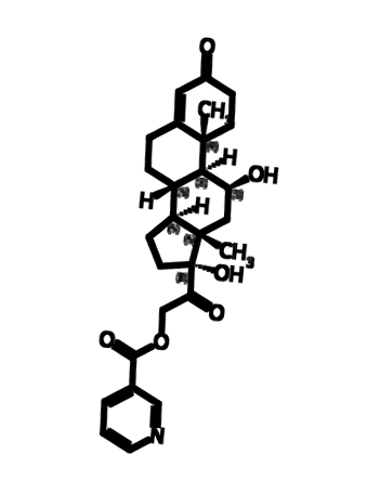 C[C@]12CCC(=O)C=C1CC[C@@H]1[C@@H]2[C@@H](O)C[C@@]2(C)[C@H]1CC[C@]2(O)C(=O)COC(=O)c1cccnc1